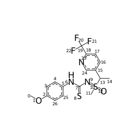 COc1ccc(NC(=S)N=S(C)(=O)C(C)c2ccc(C(F)(F)F)nc2)cc1